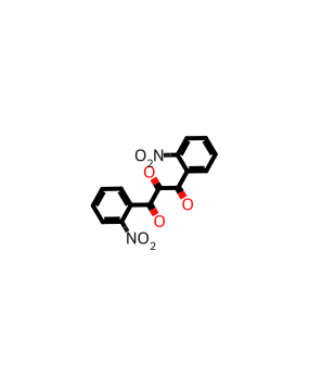 O=C(C(=O)c1ccccc1[N+](=O)[O-])C(=O)c1ccccc1[N+](=O)[O-]